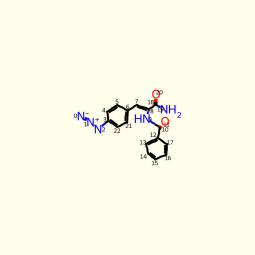 [N-]=[N+]=Nc1ccc(/C=C(\NC(=O)c2ccccc2)C(N)=O)cc1